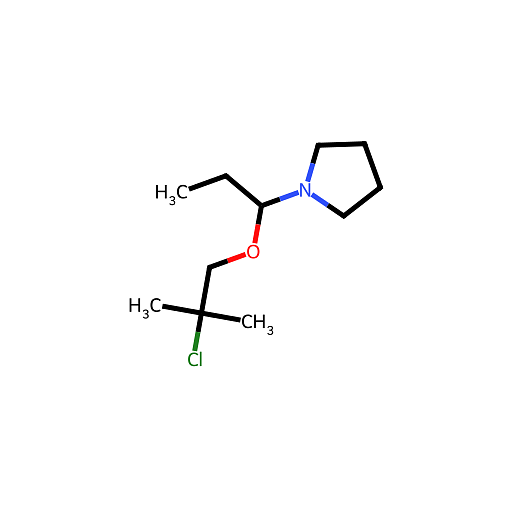 CCC(OCC(C)(C)Cl)N1CCCC1